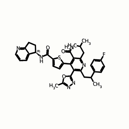 Cc1nnc(-c2c(CC(C)c3ccc(F)cc3)nc(CC(C)C)c(C(N)=O)c2-c2ccc(C(=O)N[C@@H]3CCc4ncccc43)s2)o1